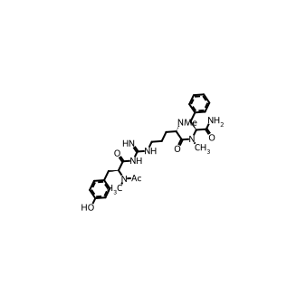 CN[C@@H](CCCNC(=N)NC(=O)[C@H](Cc1ccc(O)cc1)N(C)C(C)=O)C(=O)N(C)[C@@H](Cc1ccccc1)C(N)=O